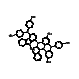 Cn1c2ccccc2c2c(N(c3ccc(C(C)(C)C)cc3)c3ccc(C(C)(C)C)cc3)ccc(N3c4cc(C(C)(C)C)cc5c4B(c4cc(C(C)(C)C)ccc4N5c4ccc(C(C)(C)C)cc4)c4c3ccc3ccccc43)c21